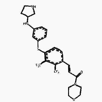 O=C(C=Cc1ccc(Sc2cccc(NC3CCNC3)c2)c(C(F)(F)F)c1C(F)(F)F)N1CCOCC1